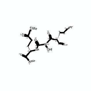 CNC(=O)[C@H](CCC(=O)OC)NC(=O)N(O)C(=O)[C@@H](C=S)CCC(C)C